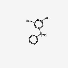 CCC(C)c1cc(C(C)CC)cc([SiH](Cl)c2ccccc2)c1